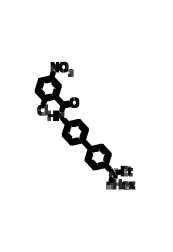 CCCCCCN(CC)c1ccc(-c2ccc(NC(=O)c3cc([N+](=O)[O-])ccc3Cl)cc2)cc1